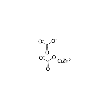 O=C([O-])[O-].O=C([O-])[O-].[Cu+2].[Zn+2]